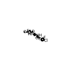 COCc1nc(C(=O)NC23CC(NC(=O)COc4ccc(Cl)c(F)c4)(C2)C3)cs1